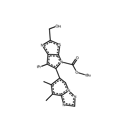 Cc1c(-c2c(C(C)C)c3nc(CO)sc3n2C(=O)OC(C)(C)C)cn2ncnc2c1C